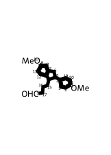 COc1ccc(C2Cc3cc(OC)ccc3C2CCCC=O)cc1